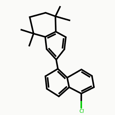 CC1(C)CCC(C)(C)c2cc(-c3cccc4c(Cl)cccc34)ccc21